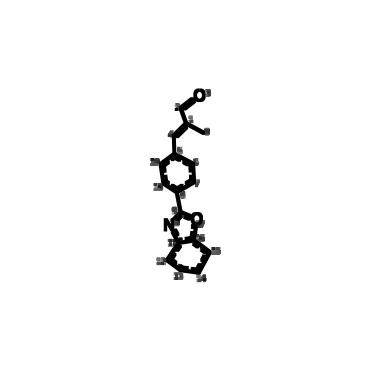 C/C(C=O)=C\c1ccc(-c2nc3ccccc3o2)cc1